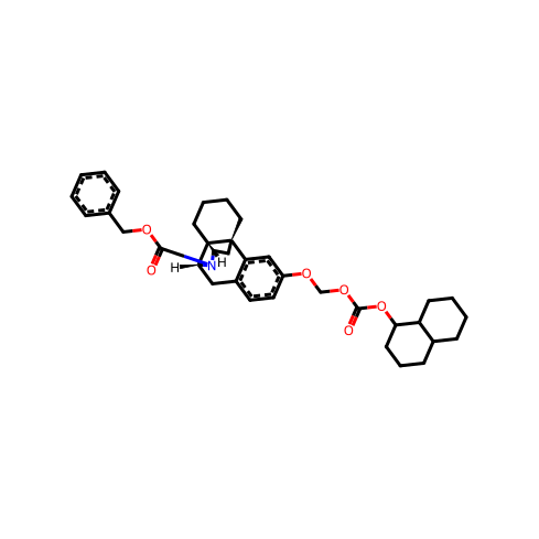 O=C(OCOc1ccc2c(c1)[C@@]13CCCC[C@H]1[C@@H](C2)N(C(=O)OCc1ccccc1)CC3)OC1CCCC2CCCCC21